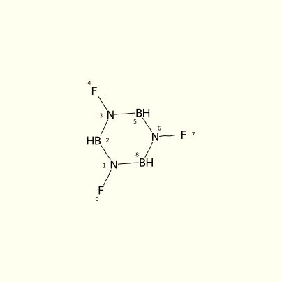 FN1BN(F)BN(F)B1